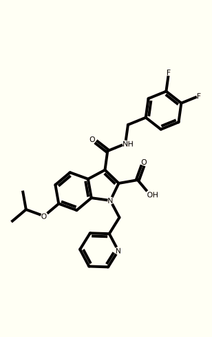 CC(C)Oc1ccc2c(C(=O)NCc3ccc(F)c(F)c3)c(C(=O)O)n(Cc3ccccn3)c2c1